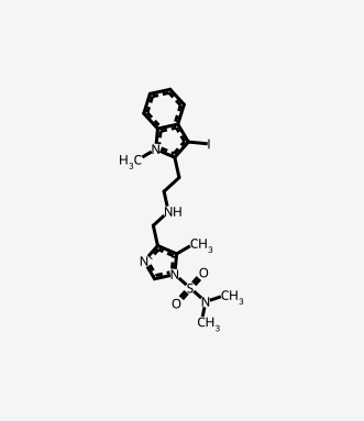 Cc1c(CNCCc2c(I)c3ccccc3n2C)ncn1S(=O)(=O)N(C)C